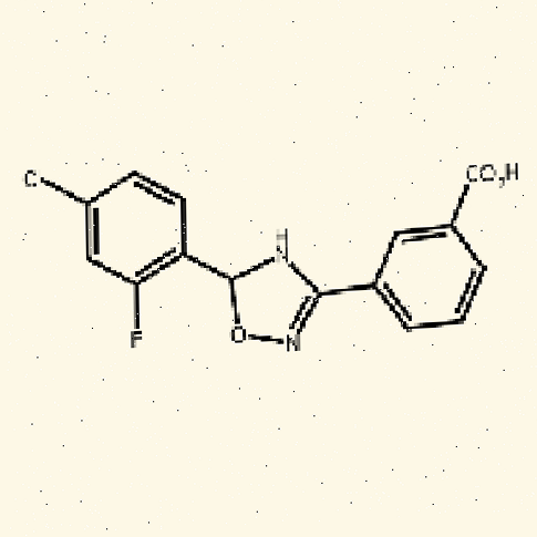 O=C(O)c1cccc(C2=NOC(c3ccc(Cl)cc3F)N2)c1